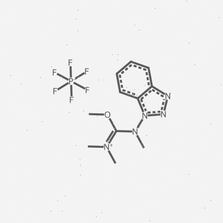 COC(N(C)n1nnc2ccccc21)=[N+](C)C.F[P-](F)(F)(F)(F)F